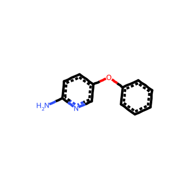 Nc1ccc(Oc2ccccc2)cn1